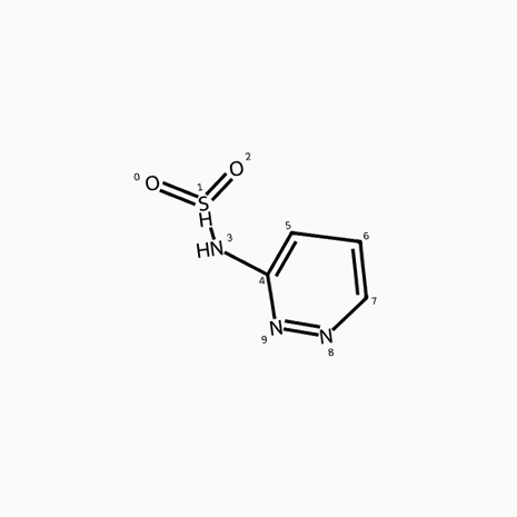 O=[SH](=O)Nc1cccnn1